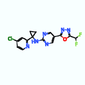 FC(F)c1nnc(-c2cnc(NC3(c4cc(Cl)ccn4)CC3)nc2)o1